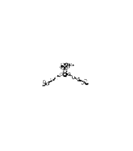 C=CC(=O)OCCOCCOCCOc1ccc(OCCOCCOCCOC(=O)C=C)c2c1SC(=C(C(=O)OC)C(=O)OC)S2